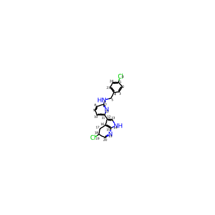 Clc1ccc(CNc2cccc(-c3c[nH]c4c3CC(Cl)C=N4)n2)cc1